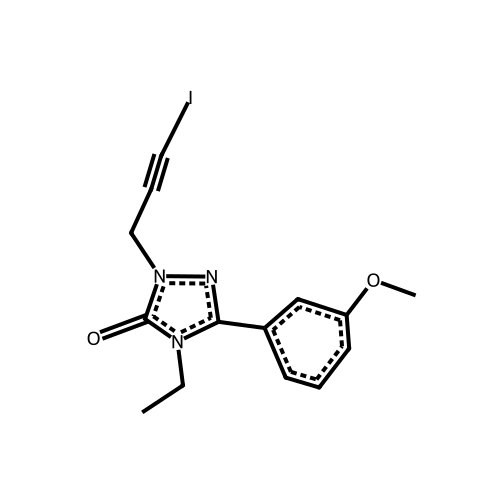 CCn1c(-c2cccc(OC)c2)nn(CC#CI)c1=O